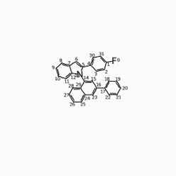 Fc1ccc(-c2cc3ccccc3n2-c2cc(-c3ccccc3)cc3ccccc23)cc1